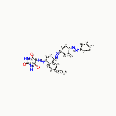 Cc1ccc(N=Nc2ccc(N=Nc3ccc(N=NC4C(=O)NC(=O)NC4=O)c4ccc(S(=O)(=O)O)cc34)cc2C)cc1